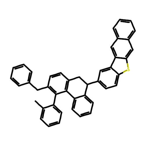 Cc1ccccc1-c1c(Cc2ccccc2)ccc2c1-c1ccccc1C(c1ccc3sc4cc5ccccc5cc4c3c1)C2